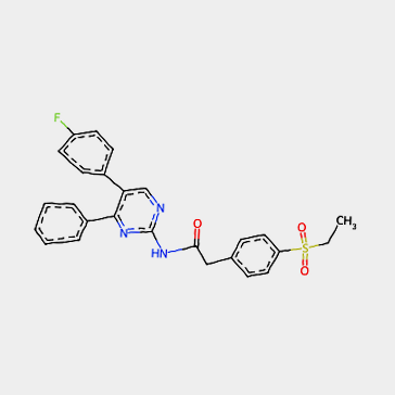 CCS(=O)(=O)c1ccc(CC(=O)Nc2ncc(-c3ccc(F)cc3)c(-c3ccccc3)n2)cc1